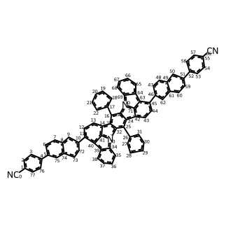 N#Cc1ccc(-c2ccc3cc(-c4ccc5c6c(-c7ccccc7)c7c(c(-c8ccccc8)c6n6c8ccccc8c4c56)c4ccc(-c5ccc6cc(-c8ccc(C#N)cc8)ccc6c5)c5c6ccccc6n7c45)ccc3c2)cc1